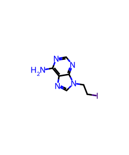 Nc1ncnc2c1ncn2CCI